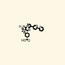 CS(=O)(=O)c1c(N)n2ncc(-c3ccc(-c4ccccn4)nc3)c2nc1[C@H]1CC[C@@H](C(=O)O)CC1